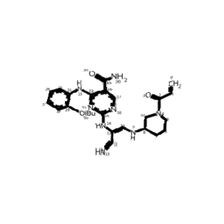 C=CC(=O)N1CCCC(N/C=C(\C=N)Nc2ncc(C(N)=O)c(Nc3ccccc3OCC(C)C)n2)C1